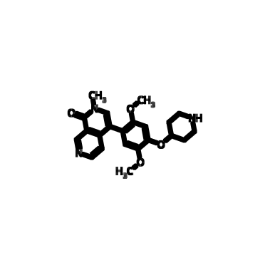 COc1cc(-c2cn(C)c(=O)c3cnccc23)c(OC)cc1OC1CCNCC1